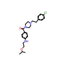 CC(C)OCCNc1ccc(C(=O)N2CCN(CCc3ccc(Cl)cc3)CC2)cc1